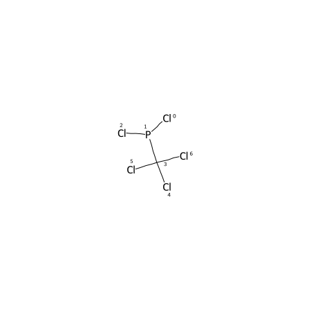 ClP(Cl)C(Cl)(Cl)Cl